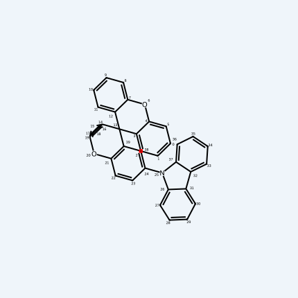 c1ccc2c(c1)Oc1ccccc1C21c2ccccc2Oc2ccc(-n3c4ccccc4c4ccccc43)cc21